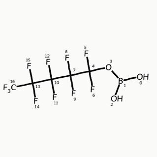 OB(O)OC(F)(F)C(F)(F)C(F)(F)C(F)(F)C(F)(F)F